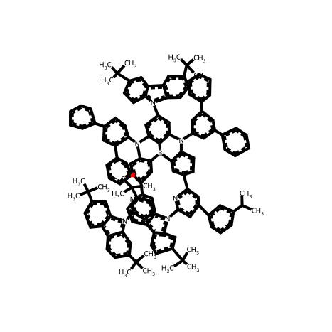 CC(C)c1cccc(-c2cc(-c3ccc4c(c3)B3c5cc(-c6cccc(-n7c8cc(C(C)(C)C)ccc8c8ccc(C(C)(C)C)cc87)n6)ccc5N(c5ccc(-c6ccccc6)cc5-c5ccccc5)c5cc(-n6c7ccc(C(C)(C)C)cc7c7cc(C(C)(C)C)ccc76)cc(c53)N4c3cc(-c4ccccc4)cc(-c4ccccc4)c3)nc(-n3c4cc(C(C)(C)C)ccc4c4ccc(C(C)(C)C)cc43)c2)c1